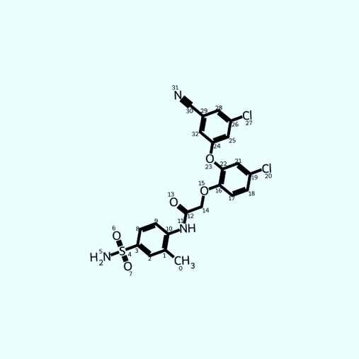 Cc1cc(S(N)(=O)=O)ccc1NC(=O)COc1ccc(Cl)cc1Oc1cc(Cl)cc(C#N)c1